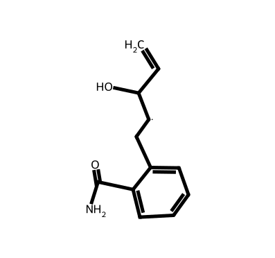 C=CC(O)[CH]Cc1ccccc1C(N)=O